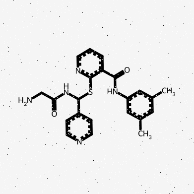 Cc1cc(C)cc(NC(=O)c2cccnc2SC(NC(=O)CN)c2ccncc2)c1